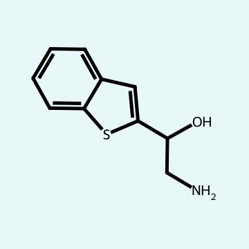 NCC(O)c1cc2ccccc2s1